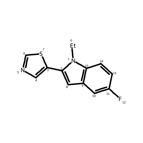 CCn1c(-c2cncs2)cc2cc(F)ccc21